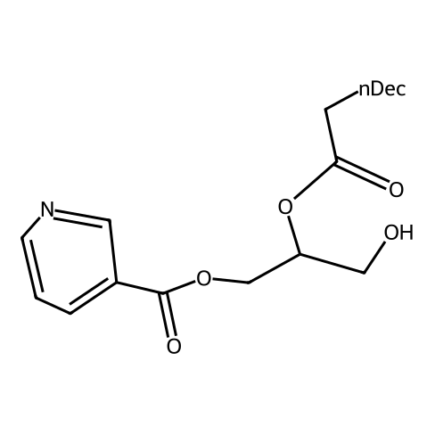 CCCCCCCCCCCC(=O)OC(CO)COC(=O)c1cccnc1